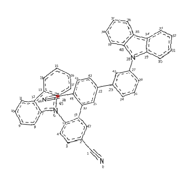 N#Cc1ccc(-n2c3ccccc3c3ccccc32)c(-c2cc(-c3cccc(-n4c5ccccc5c5ccccc54)c3)ccc2C#N)c1